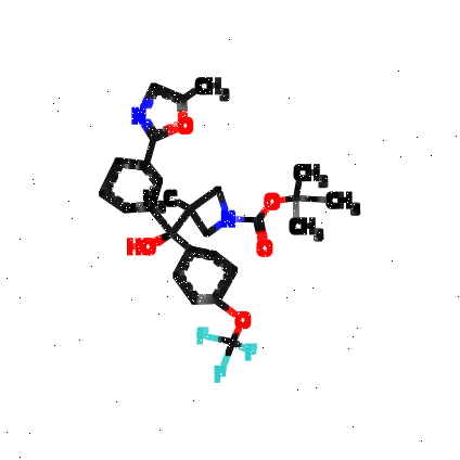 Cc1cnc(-c2cccc([C@@](O)(c3ccc(OC(F)(F)F)cc3)C3(C)CN(C(=O)OC(C)(C)C)C3)c2)o1